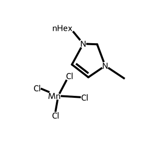 CCCCCCN1C=CN(C)C1.[Cl][Mn]([Cl])([Cl])[Cl]